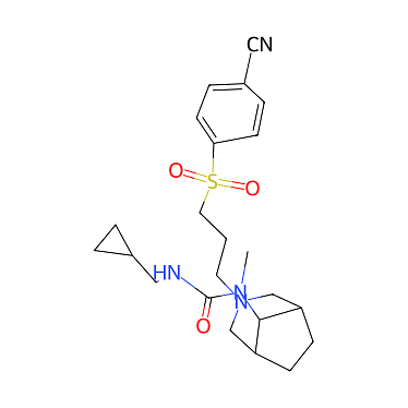 CN(C(=O)NCC1CC1)C1C2CCC1CN(CCCS(=O)(=O)c1ccc(C#N)cc1)C2